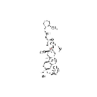 CC(=O)O[C@@H]1C[C@@]23COC[C@](C)([C@@H]2CC[C@H]2C3=CC[C@@]3(C)[C@H](C(=O)O)[C@@](C)([C@H](C)C(C)C)CC[C@]23C)[C@H]1OC(=O)CNCC1CCCN1C